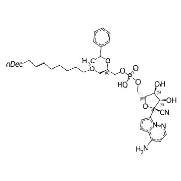 CCCCCCCCCCCCCCCCCCOC[C@H](COP(=O)(O)OC[C@H]1O[C@@](C#N)(c2ccc3c(N)ccnn23)[C@H](O)[C@@H]1O)OC(C)c1ccccc1